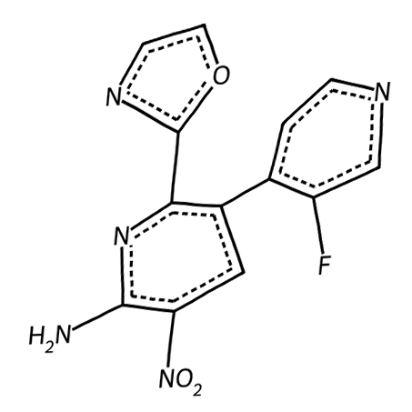 Nc1nc(-c2ncco2)c(-c2ccncc2F)cc1[N+](=O)[O-]